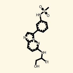 CCC(CO)Nc1ccc2ncc(-c3cccc(NS(C)(=O)=O)c3)n2n1